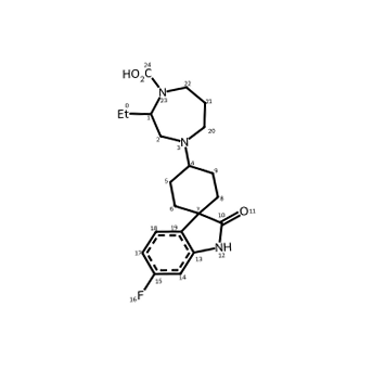 CCC1CN(C2CCC3(CC2)C(=O)Nc2cc(F)ccc23)CCCN1C(=O)O